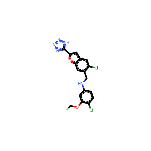 FCOc1cc(NCc2cc3oc(-c4nnn[nH]4)cc3cc2Cl)ccc1Cl